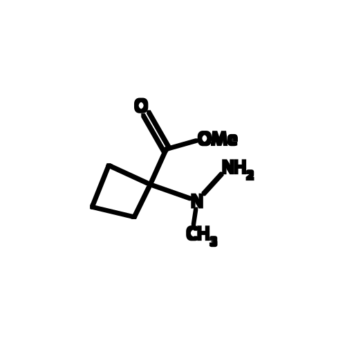 COC(=O)C1(N(C)N)CCC1